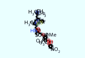 COc1cc(C(C)OC(=O)Oc2ccc([N+](=O)[O-])cc2)c([N+](=O)[O-])cc1OCCCC(=O)C(CS(=O)(=O)O)NC(=O)CCC1=[N+]2C(=Cc3c(CCC[N+](C)(C)C)cc(-c4cccs4)n3[B-]2(F)F)C(C)=C1